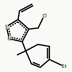 C=Cc1snc(C2(C)C=CC(CC)=CC2)c1CCl